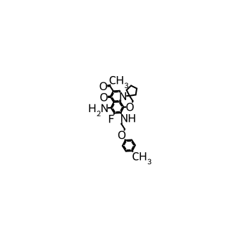 CC(=O)c1cn2c3c(c(NCCOc4ccc(C)cc4)c(F)c(N)c3c1=O)OCC21CCCC1